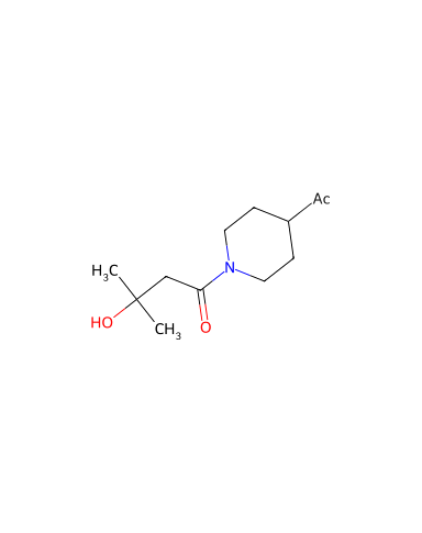 CC(=O)C1CCN(C(=O)CC(C)(C)O)CC1